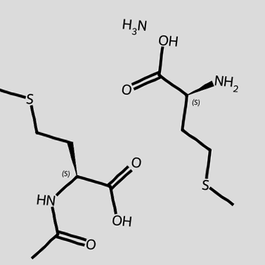 CSCC[C@H](N)C(=O)O.CSCC[C@H](NC(C)=O)C(=O)O.N